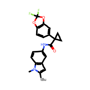 Cn1c(C(C)(C)C)cc2cc(NC(=O)C3(c4ccc5c(c4)OC(F)(F)O5)CC3)ccc21